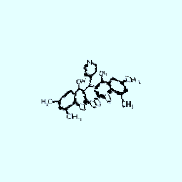 Cc1cc(C)c2oc(=O)c(C(c3ccncc3)c3c(O)c4cc(C)cc(C)c4oc3=O)c(O)c2c1